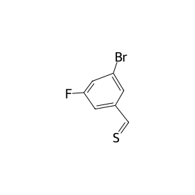 Fc1cc(Br)cc(C=S)c1